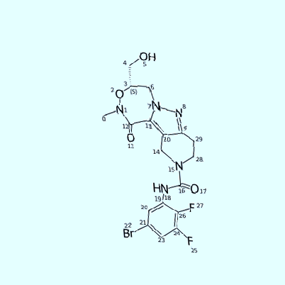 CN1O[C@H](CO)Cn2nc3c(c2C1=O)CN(C(=O)Nc1cc(Br)cc(F)c1F)CC3